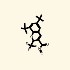 CC(C)(C)c1cc2c(c(C(C)(C)C)c1)OC(C(F)(F)F)C(C(=O)N=O)=C2